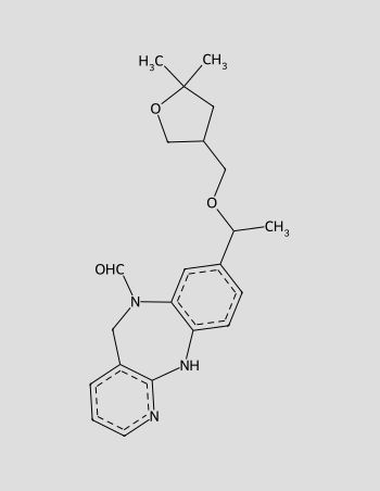 CC(OCC1COC(C)(C)C1)c1ccc2c(c1)N(C=O)Cc1cccnc1N2